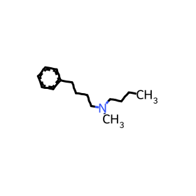 CCCCN(C)CCCCc1ccccc1